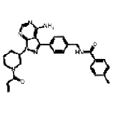 C=CC(=O)N1CCCC(n2nc(-c3ccc(CNC(=O)c4ccc(C)cc4)cc3)c3c(N)ncnc32)C1